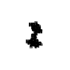 COc1ccc2c3c1OC1C(CC(=O)CCC(NC(C)=O)C(=O)NC(C(=O)O)C(C)C)=CC[C@@]4(O)[C@@H](C2)N(C)CC[C@]314